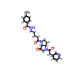 CC(C)c1ccc(C(=O)NCCCCC(=O)N2CCC3C2C(=O)CN3C(=O)Cc2cccnc2)cc1